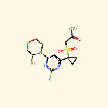 COC(=O)CS(=O)(=O)C1(c2cc(N3CCOC[C@@H]3C)nc(Cl)n2)CC1